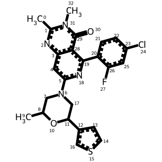 Cc1nc2cc(N3CC(C)OC(c4ccsc4)C3)nc(-c3ccc(Cl)cc3F)c2c(=O)n1C